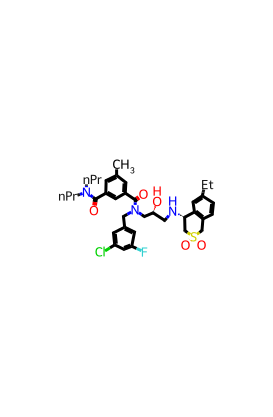 CCCN(CCC)C(=O)c1cc(C)cc(C(=O)N(Cc2cc(F)cc(Cl)c2)C[C@H](O)CN[C@H]2CS(=O)(=O)Cc3ccc(CC)cc32)c1